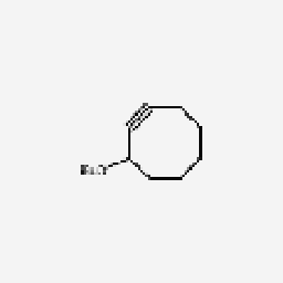 CC(C)COC1C#CCCCCC1